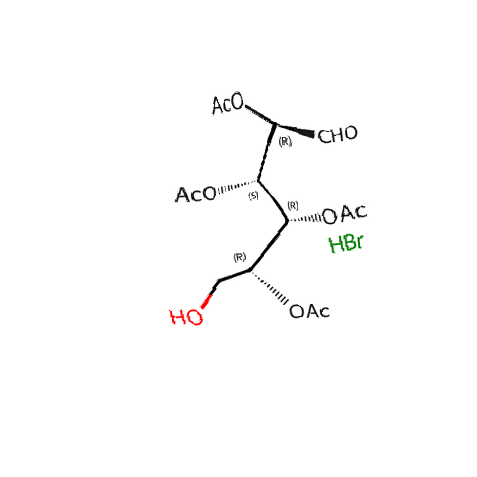 Br.CC(=O)O[C@@H]([C@H](OC(C)=O)[C@@H](CO)OC(C)=O)[C@H](C=O)OC(C)=O